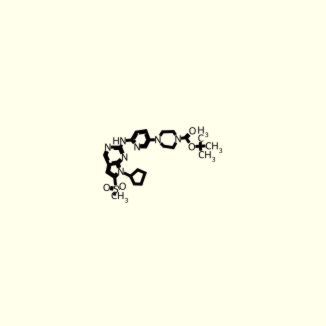 CC(C)(C)OC(=O)N1CCN(c2ccc(Nc3ncc4cc(S(C)(=O)=O)n(C5CCCC5)c4n3)nc2)CC1